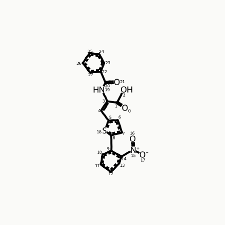 O=C(O)/C(=C\c1ccc(-c2ccccc2[N+](=O)[O-])s1)NC(=O)c1ccccc1